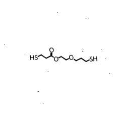 O=C(CCS)OCCOCCCS